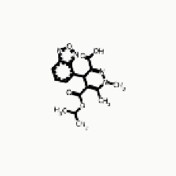 CC1=C(C(=O)OC(C)C)C(c2cccc3nonc23)C(C(=O)O)=NN1C